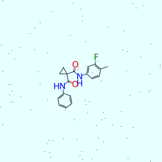 Cc1ccc(NC(=O)C2(C(=O)Nc3ccccc3)CC2)cc1F